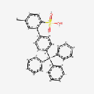 Cc1ccc(S(=O)(=O)O)c(-c2ccc([B-](c3ccccc3)(c3ccccc3)c3ccccc3)cc2)c1